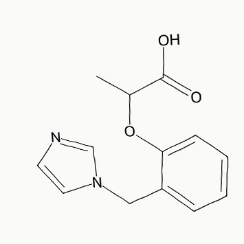 CC(Oc1ccccc1Cn1ccnc1)C(=O)O